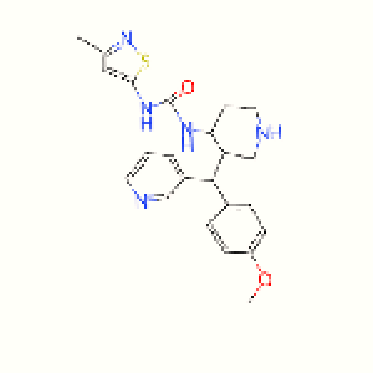 COc1ccc(C(c2cccnc2)C2CNCCC2NC(=O)Nc2cc(C)ns2)cc1